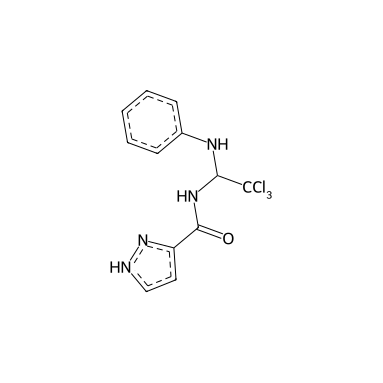 O=C(NC(Nc1ccccc1)C(Cl)(Cl)Cl)c1cc[nH]n1